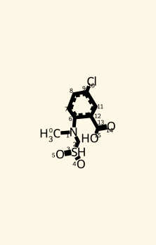 CN(C[SH](=O)=O)c1ccc(Cl)cc1C(=O)O